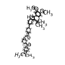 COc1ccc(-c2[nH]c3ccc(C4CCN(C(=O)CN5CCCC(C(=O)N6CCN(C(C)C)CC6)C5)CC4)cc3c2C(C)C)cc1OC